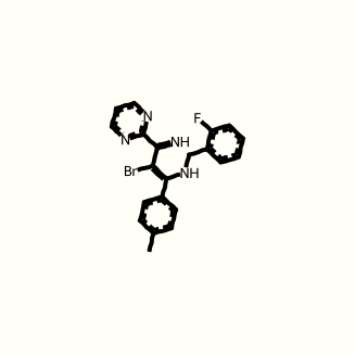 Cc1ccc(/C(NCc2ccccc2F)=C(\Br)C(=N)c2ncccn2)cc1